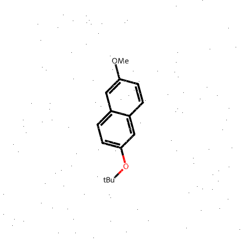 COc1ccc2cc(OC(C)(C)C)ccc2c1